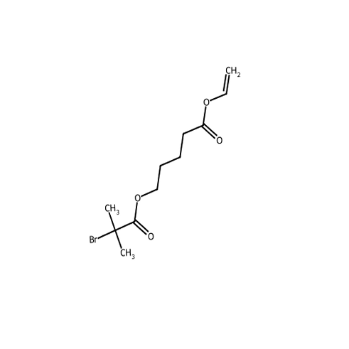 C=COC(=O)CCCCOC(=O)C(C)(C)Br